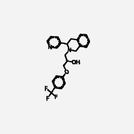 OC(COc1ccc(C(F)(F)F)cc1)CN1Cc2ccccc2CC1c1cccnc1